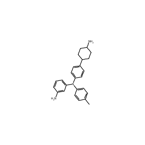 Cc1ccc(N(c2ccc(C3CCC(N)CC3)cc2)c2cccc(N)c2)cc1